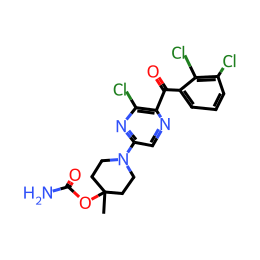 CC1(OC(N)=O)CCN(c2cnc(C(=O)c3cccc(Cl)c3Cl)c(Cl)n2)CC1